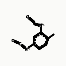 Cc1ccc([N+]=C=O)cc1[N+]=C=O